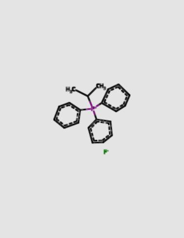 CC(C)[P+](c1ccccc1)(c1ccccc1)c1ccccc1.[F-]